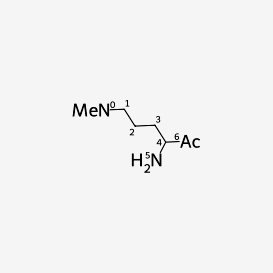 CNCCCC(N)C(C)=O